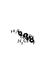 CCN(C(=O)c1c(F)cc(F)cc1F)c1cccc(OC2CCN(C)CC2)n1